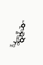 Cc1ccc(C(=O)NC(C)CO)cc1-n1cnc(OCc2ccc(F)cc2F)c(Br)c1=O